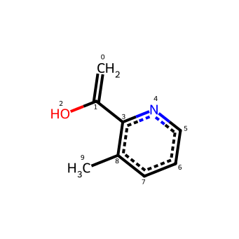 C=C(O)c1ncccc1C